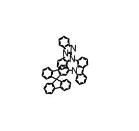 c1ccc2c(c1)-c1ccccc1C21c2ccccc2-c2ccc(-n3c4ccccc4c4cccc(-n5c6ccccc6n6c7ccccc7nc56)c43)cc21